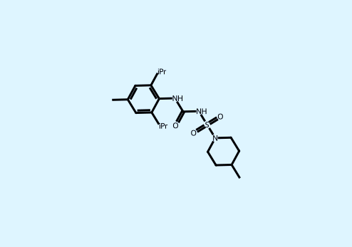 Cc1cc(C(C)C)c(NC(=O)NS(=O)(=O)N2CCC(C)CC2)c(C(C)C)c1